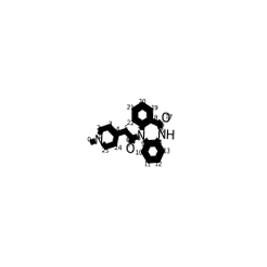 CN1CC=C(CC(=O)N2c3ccccc3NC(=O)c3ccccc32)CC1